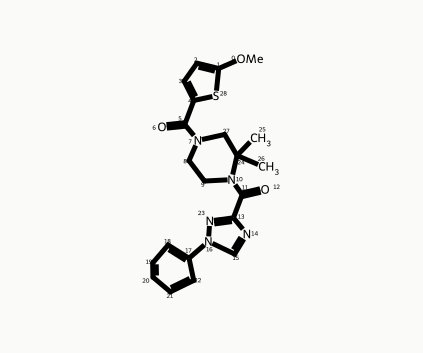 COc1ccc(C(=O)N2CCN(C(=O)c3ncn(-c4ccccc4)n3)C(C)(C)C2)s1